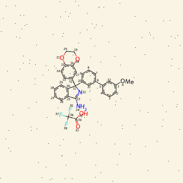 COc1cccc(-c2cccc(C3(c4ccc5c(c4)OCCO5)N=C(N)c4ccccc43)c2)c1.O=C(O)C(F)(F)F